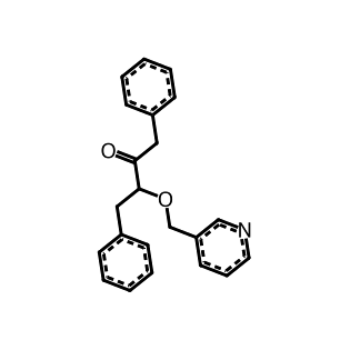 O=C(Cc1ccccc1)C(Cc1ccccc1)OCc1cccnc1